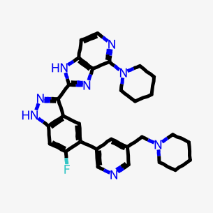 Fc1cc2[nH]nc(-c3nc4c(N5CCCCC5)nccc4[nH]3)c2cc1-c1cncc(CN2CCCCC2)c1